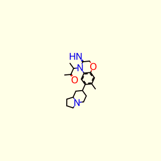 CC(=O)C(C)N1C(=N)COc2cc(C)c(C3CCN4CCCC4C3)cc21